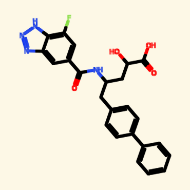 O=C(NC(Cc1ccc(-c2ccccc2)cc1)CC(O)C(=O)O)c1cc(F)c2[nH]nnc2c1